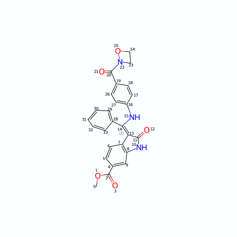 COC(=O)c1ccc2c(c1)NC(=O)/C2=C(\Nc1ccc(C(=O)N2CCO2)cc1)c1ccccc1